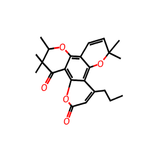 CCCc1cc(=O)oc2c3c(c4c(c12)OC(C)(C)C=C4)OC(C)C(C)(C)C3=O